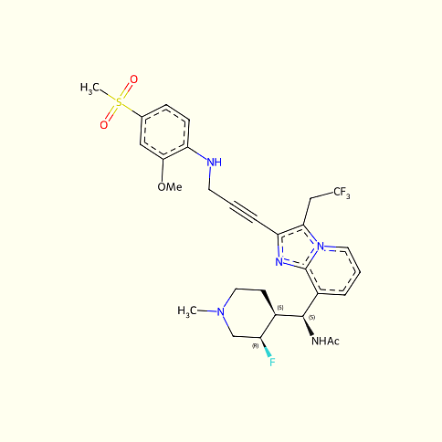 COc1cc(S(C)(=O)=O)ccc1NCC#Cc1nc2c([C@@H](NC(C)=O)[C@@H]3CCN(C)C[C@@H]3F)cccn2c1CC(F)(F)F